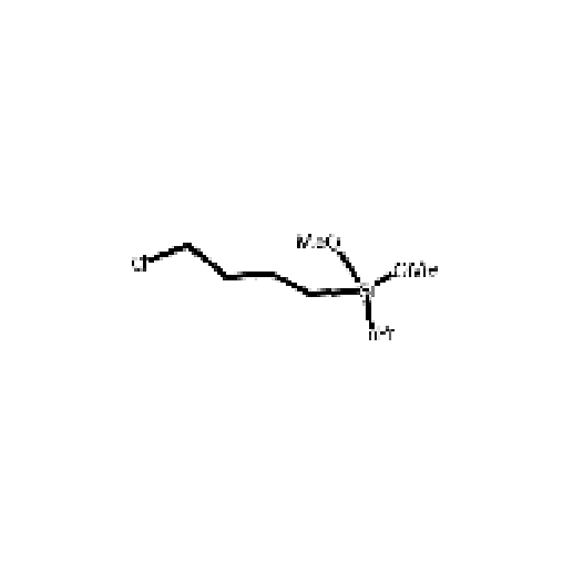 CCC[Si](CCCCCl)(OC)OC